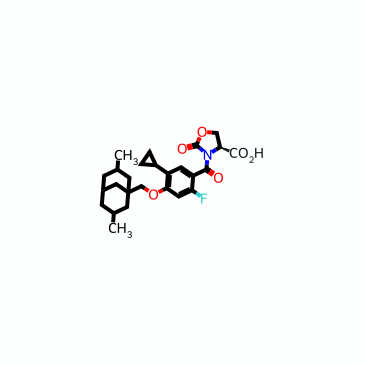 CC1CC2CC(C)CC(COc3cc(F)c(C(=O)N4C(=O)OC[C@H]4C(=O)O)cc3C3CC3)(C1)C2